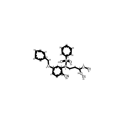 CCOC(CCN(c1cc(OCc2ccccc2)ccc1C#N)S(=O)(=O)c1ccccc1)OCC